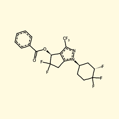 O=C(O[C@H]1c2c(C(F)(F)F)nn([C@@H]3CCC(F)(F)[C@@H](F)C3)c2CC1(F)F)c1ccccc1